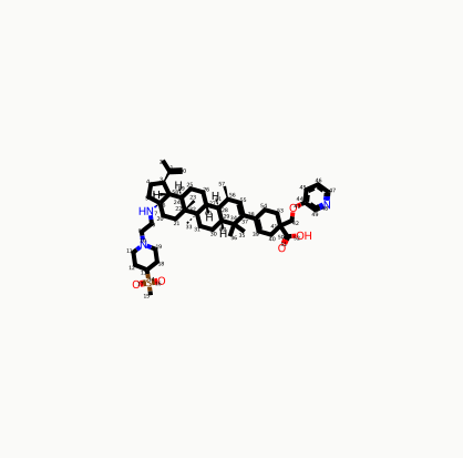 C=C(C)[C@@H]1CC[C@]2(NCCN3CCC(S(C)(=O)=O)CC3)CC[C@]3(C)[C@H](CC[C@@H]4[C@@H]5[C@@H](CC[C@]43C)C(C)(C)C(C3=CCC(COc4cccnc4)(C(=O)O)CC3)=C[C@@H]5C)[C@@H]12